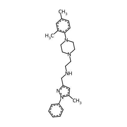 Cc1ccc(N2CCN(CCNCc3cc(C)n(-c4ccccc4)n3)CC2)c(C)c1